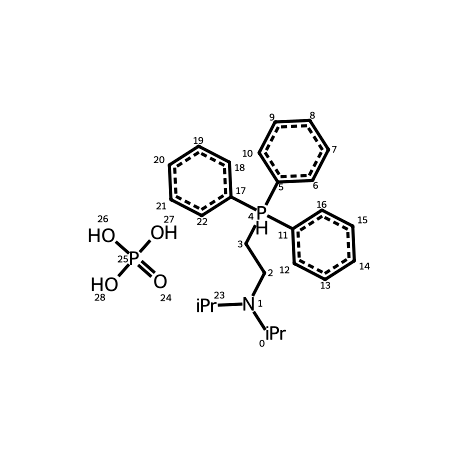 CC(C)N(CC[PH](c1ccccc1)(c1ccccc1)c1ccccc1)C(C)C.O=P(O)(O)O